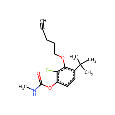 C#CCCCOc1c(C(C)(C)C)ccc(OC(=O)NC)c1F